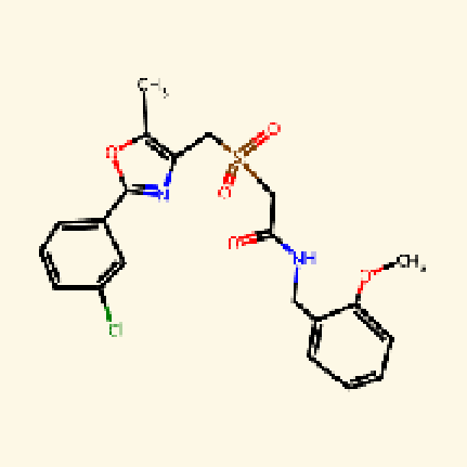 COc1ccccc1CNC(=O)CS(=O)(=O)Cc1nc(-c2cccc(Cl)c2)oc1C